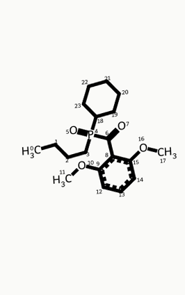 CCCCP(=O)(C(=O)c1c(OC)cccc1OC)C1CCCCC1